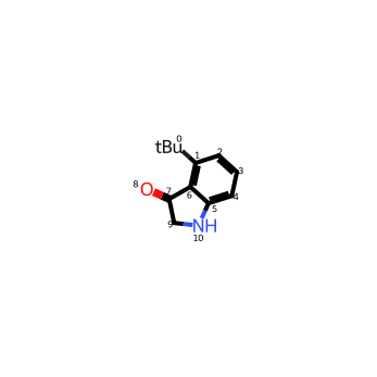 CC(C)(C)c1cccc2c1C(=O)CN2